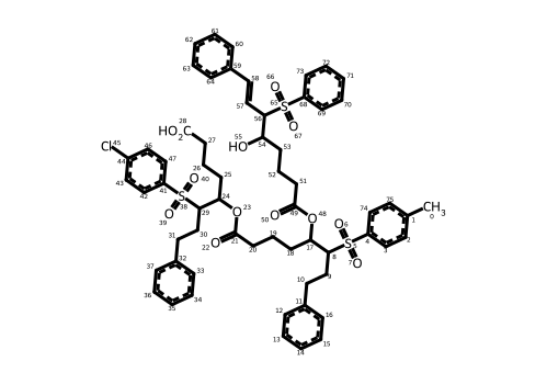 Cc1ccc(S(=O)(=O)C(CCc2ccccc2)C(CCCC(=O)OC(CCCC(=O)O)C(CCc2ccccc2)S(=O)(=O)c2ccc(Cl)cc2)OC(=O)CCCC(O)C(C=Cc2ccccc2)S(=O)(=O)c2ccccc2)cc1